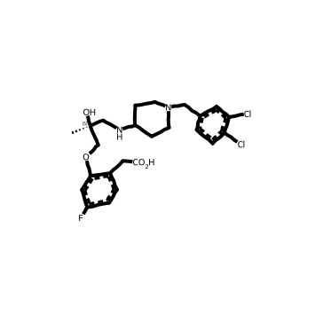 C[C@](O)(CNC1CCN(Cc2ccc(Cl)c(Cl)c2)CC1)COc1cc(F)ccc1CC(=O)O